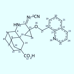 N#C/N=C(/NC1C2CC3CC1CC(C(=O)O)(C3)C2)C1(OCc2cccc3cccnc23)CC1